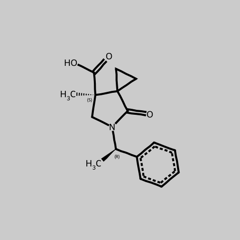 C[C@H](c1ccccc1)N1C[C@@](C)(C(=O)O)C2(CC2)C1=O